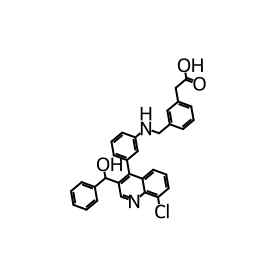 O=C(O)Cc1cccc(CNc2cccc(-c3c(C(O)c4ccccc4)cnc4c(Cl)cccc34)c2)c1